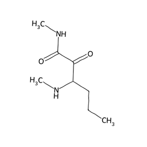 CCCC(NC)C(=O)C(=O)NC